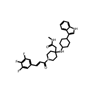 CNC(=O)CC1(NC2CCC(c3c[nH]c4ccccc34)CC2)CCN(C(=O)C=Cc2cc(F)c(F)c(F)c2)CC1